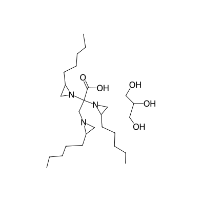 CCCCCC1CN1CC(C(=O)O)(N1CC1CCCCC)N1CC1CCCCC.OCC(O)CO